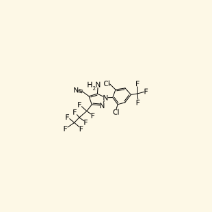 N#Cc1c(C(F)(F)C(F)(F)C(F)(F)F)nn(-c2c(Cl)cc(C(F)(F)F)cc2Cl)c1N